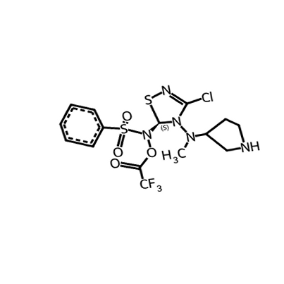 CN(C1CCNC1)N1C(Cl)=NS[C@@H]1N(OC(=O)C(F)(F)F)S(=O)(=O)c1ccccc1